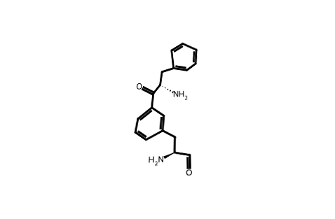 N[C@H](C=O)Cc1cccc(C(=O)[C@@H](N)Cc2ccccc2)c1